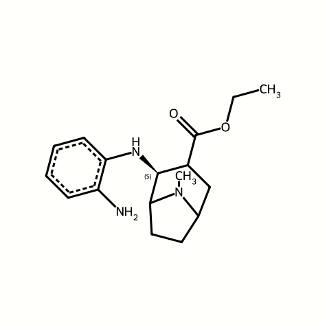 CCOC(=O)C1CC2CCC([C@H]1Nc1ccccc1N)N2C